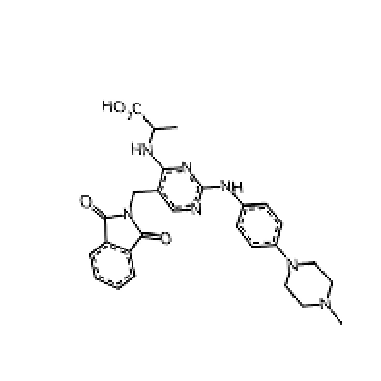 CC(Nc1nc(Nc2ccc(N3CCN(C)CC3)cc2)ncc1CN1C(=O)c2ccccc2C1=O)C(=O)O